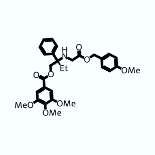 CC[C@](COC(=O)c1cc(OC)c(OC)c(OC)c1)(NCC(=O)OCc1ccc(OC)cc1)c1ccccc1